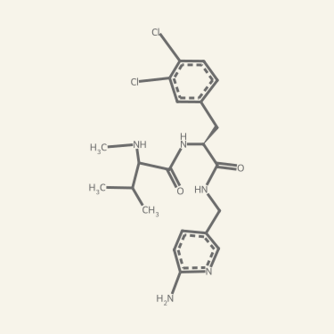 CNC(C(=O)N[C@@H](Cc1ccc(Cl)c(Cl)c1)C(=O)NCc1ccc(N)nc1)C(C)C